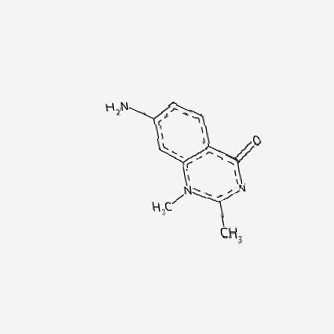 Cc1nc(=O)c2ccc(N)cc2n1C